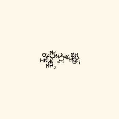 Nc1nc2c(ncn2C2=C[C@@H](OCP(=O)(O)O)CC2)c(=O)[nH]1